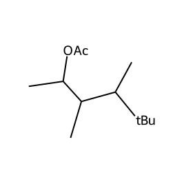 CC(=O)OC(C)C(C)C(C)C(C)(C)C